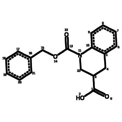 O=C(O)C1Cc2ccccc2N(C(=O)OCc2ccccc2)C1